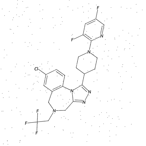 Fc1cnc(N2CCC(c3nnc4n3-c3ccc(Cl)cc3CN(CC(F)(F)F)C4)CC2)c(F)c1